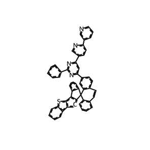 C1=Cc2ccc(-c3cc(-c4ccc(-c5cccnc5)nc4)nc(-c4ccccc4)n3)cc2C2(c3ccccc31)c1ccccc1-c1c2ccc2c1sc1ccccc12